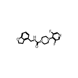 O=C(NCc1cccc2c1CCO2)N1CCN(c2c(F)cncc2F)CC1